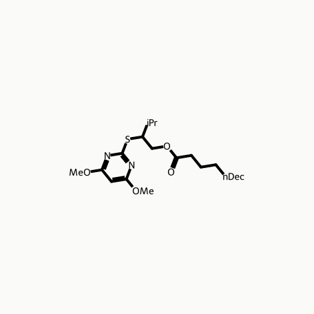 CCCCCCCCCCCCCC(=O)OCC(Sc1nc(OC)cc(OC)n1)C(C)C